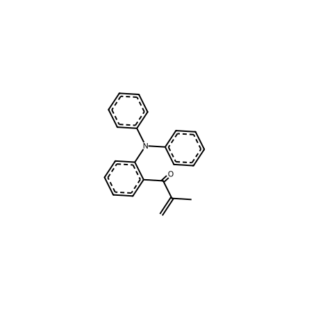 C=C(C)C(=O)c1ccccc1N(c1ccccc1)c1ccccc1